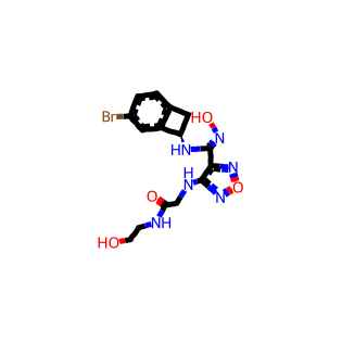 O=C(CNc1nonc1/C(=N/O)N[C@H]1Cc2ccc(Br)cc21)NCCO